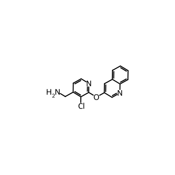 NCc1ccnc(Oc2cnc3ccccc3c2)c1Cl